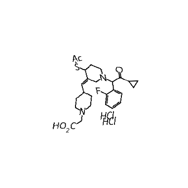 CC(=O)SC1CCN(C(C(=O)C2CC2)c2ccccc2F)C/C1=C\C1CCN(CC(=O)O)CC1.Cl.Cl